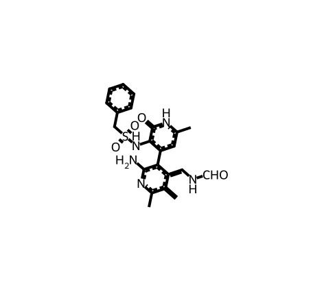 C=c1c(C)nc(N)c(-c2cc(C)[nH]c(=O)c2NS(=O)(=O)Cc2ccccc2)c1=CNC=O